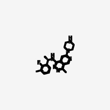 Cc1cccc([C@@H](C)Nc2nnc(C)c3cnc(N4CCNCC4)cc23)c1F